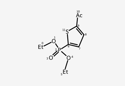 CCOP(=O)(OCC)c1ccc(C(C)=O)s1